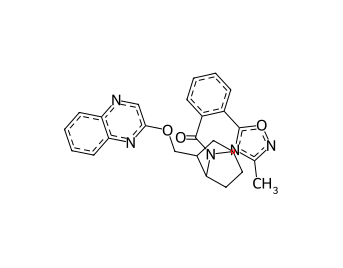 Cc1noc(-c2ccccc2C(=O)N2C3CCC2C(COc2cnc4ccccc4n2)C3)n1